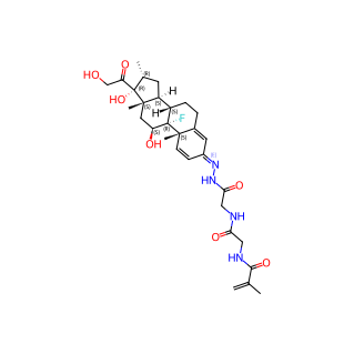 C=C(C)C(=O)NCC(=O)NCC(=O)N/N=C1\C=C[C@@]2(C)C(=C1)CC[C@H]1[C@@H]3C[C@@H](C)[C@](O)(C(=O)CO)[C@@]3(C)C[C@H](O)[C@@]12F